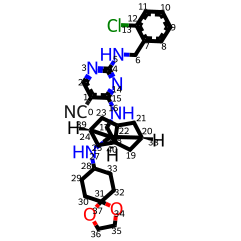 N#Cc1cnc(NCc2ccccc2Cl)nc1NCC12C[C@H]3CC1C[C@@H](C2)[C@@H]3NC1CCC2(CC1)OCCO2